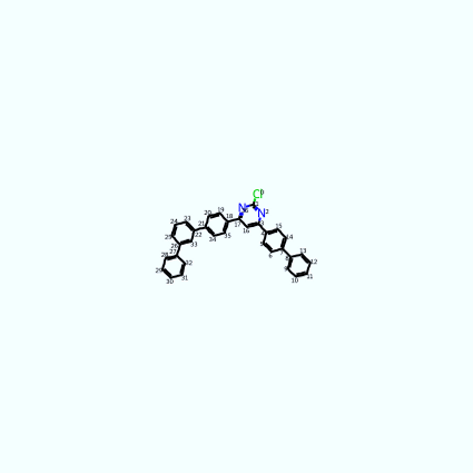 Clc1nc(-c2ccc(-c3ccccc3)cc2)cc(-c2ccc(-c3cccc(-c4ccccc4)c3)cc2)n1